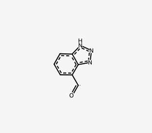 O=[C]c1cccc2[nH]nnc12